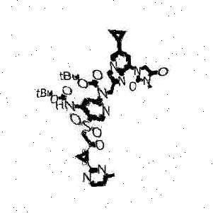 Cc1ccnc([C@H]2C[C@@H]2C(=O)CS(=O)(=O)c2cnc(N(Cc3cn4cc(C5CC5)cc(N5CC(=O)N(C)C5=O)c4n3)C(=O)OC(C)(C)C)cc2NC(=O)OC(C)(C)C)n1